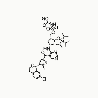 Cc1sc(C(=O)c2cncnc2N[C@@H]2C[C@H](COS(=O)(=O)NC(=O)O)[C@@H](O[Si](C(C)C)(C(C)C)C(C)C)C2)cc1[C@@H]1OCCc2ccc(Cl)cc21